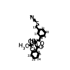 CC(C)(C)N(NC(=O)c1cccc(CSC#N)c1)C(=O)c1ccccc1